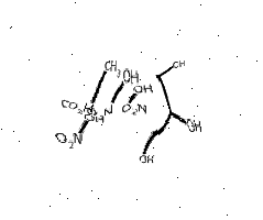 CC(=O)O.O=[N+]([O-])O.O=[N+]([O-])O.O=[N+]([O-])O.OCC(O)CO